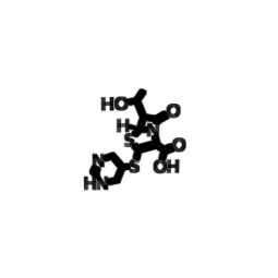 CC(O)C1C(=O)N2C(C(=O)O)=C(SC3CN=CNC3)S[C@H]12